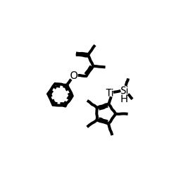 C=C(C)C(C)=COc1ccccc1.CC1=C(C)C(C)[C]([Ti][SiH](C)C)=C1C